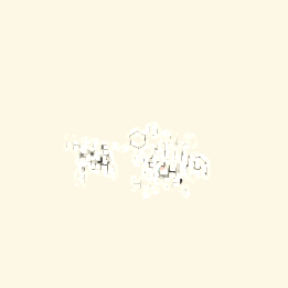 CC(C)(C)OC(=O)Oc1c(CCB2O[C@@H]3C[C@@H]4C[C@@H](C4(C)C)[C@]3(C)O2)ccc(OC2CN(C(=O)Cn3ccnc3)C2)c1C(=O)OC(C)(C)C